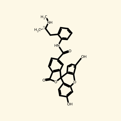 CN[C@@H](C)Cc1ccccc1NC(=O)c1ccc2c(c1)C1(OC2=O)c2ccc(O)cc2Oc2cc(O)ccc21